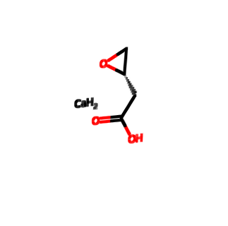 O=C(O)C[C@H]1CO1.[CaH2]